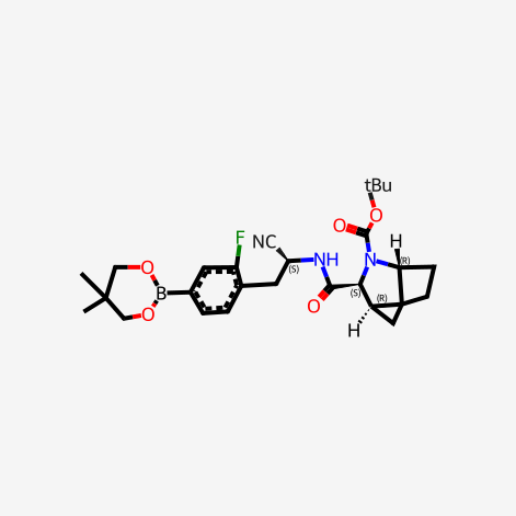 CC1(C)COB(c2ccc(C[C@@H](C#N)NC(=O)[C@@H]3[C@@H]4CC45CC[C@H]5N3C(=O)OC(C)(C)C)c(F)c2)OC1